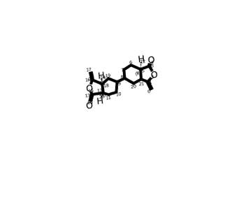 C=C1OC(=O)[C@@H]2CCC(C3CC[C@H]4C(=O)OC(=C)[C@H]4C3)CC12